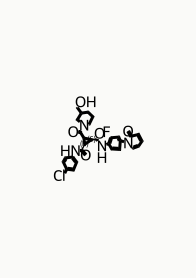 O=C(Nc1ccc(-n2ccccc2=O)cc1F)[C@@H]1C(C(=O)N2CCCC(CO)C2)[C@@H]1C(=O)Nc1ccc(Cl)cc1